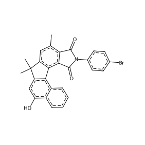 Cc1cc2c(c3c1C(=O)N(c1ccc(Br)cc1)C3=O)-c1c(cc(O)c3ccccc13)C2(C)C